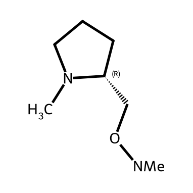 CNOC[C@H]1CCCN1C